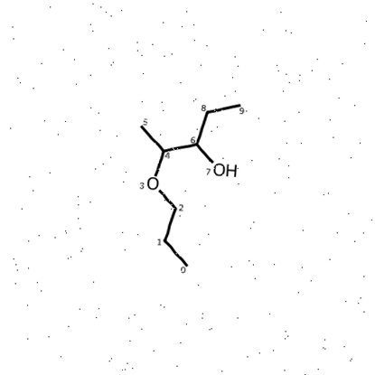 CCCOC(C)C(O)CC